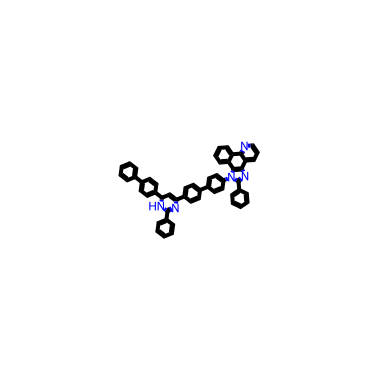 C1=C(c2ccc(-c3ccc(-n4c(-c5ccccc5)nc5c6cccnc6c6ccccc6c54)cc3)cc2)N=C(c2ccccc2)NC1c1ccc(-c2ccccc2)cc1